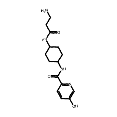 NCCC(=O)NC1CCC(NC(=O)c2ccc(O)cn2)CC1